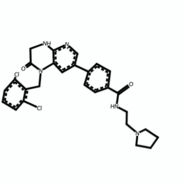 O=C(NCCN1CCCC1)c1ccc(-c2cnc3c(c2)N(Cc2c(Cl)cccc2Cl)C(=O)CN3)cc1